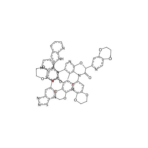 O=C1C(c2cnc3snnc3c2)Sc2nc[c]cc2N1c1cnc2c(c1-c1cnc3c(c1-c1cc(-c4cc5cccnc5[nH]4)c4c(n1)OCCO4)OCCO3)N(c1ccc3c(c1)OCCO3)C(=O)C(c1cc3c(cn1)OCCO3)O2